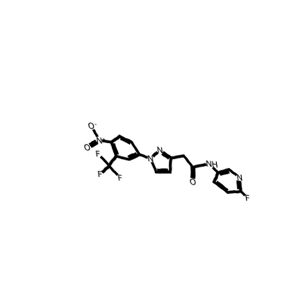 O=C(Cc1ccn(-c2ccc([N+](=O)[O-])c(C(F)(F)F)c2)n1)Nc1ccc(F)nc1